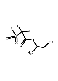 CCC(C)OC(=O)C(F)(F)S(=O)(=O)F